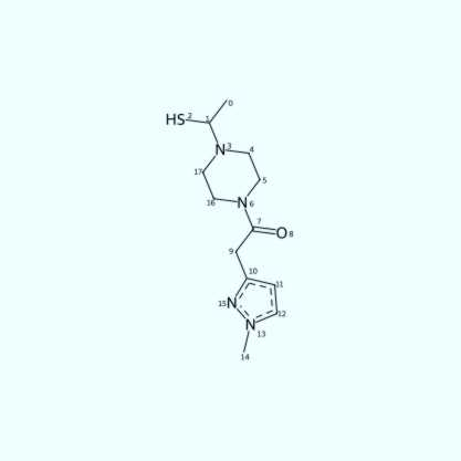 CC(S)N1CCN(C(=O)Cc2ccn(C)n2)CC1